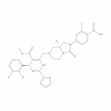 COC(=O)C1=C(CN2CCN3C(=O)N(c4ccc(C(=O)O)c(F)c4)C[C@@H]3C2)NC(c2nccs2)=N[C@H]1c1cccc(F)c1Cl